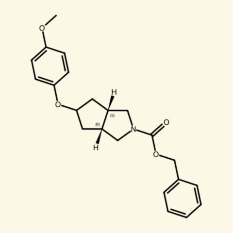 COc1ccc(OC2C[C@@H]3CN(C(=O)OCc4ccccc4)C[C@@H]3C2)cc1